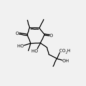 CC1=C(C)C(=O)C(O)(CCC(C)(O)C(=O)O)C(C)(O)C1=O